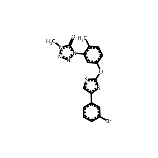 Cc1ccc(Oc2nc(-c3cccc(Br)c3)cs2)cc1-n1nnn(C)c1=O